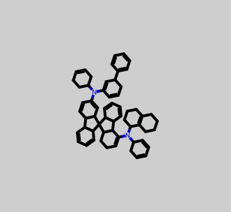 C1=CCC(N(C2=CCCC3C2C2C=CC=CC2C32C3C=CC=CC3C3C=CC(N(C4=CC(c5ccccc5)CC=C4)C4CC=CCC4)=CC32)C2CCCC3=C2CCCC3)C=C1